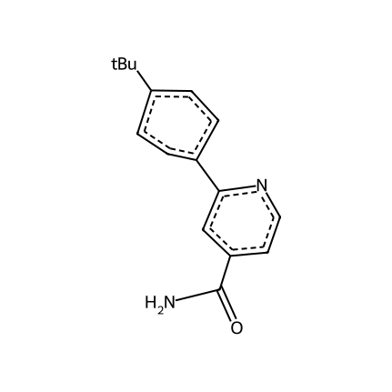 CC(C)(C)c1ccc(-c2cc(C(N)=O)ccn2)cc1